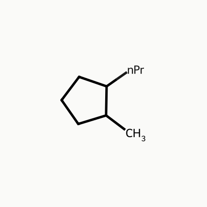 CCCC1CCCC1C